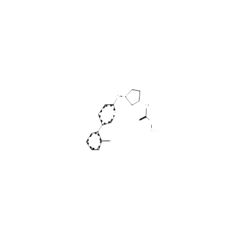 CC(C)(C)OC(=O)N[C@H]1CC[C@H](Nc2ccc(-c3ccccc3F)cn2)C1